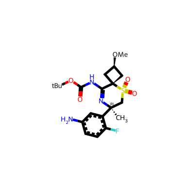 CO[C@H]1C[C@]2(C1)C(NC(=O)OC(C)(C)C)=N[C@](C)(c1cc(N)ccc1F)CS2(=O)=O